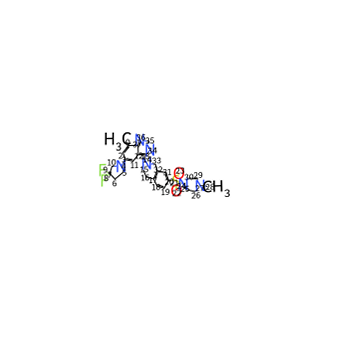 Cc1cc(N2CCC(F)(F)C2)cc2c(N3CCc4ccc(S(=O)(=O)N5CCN(C)CC5)cc4C3)ncnc12